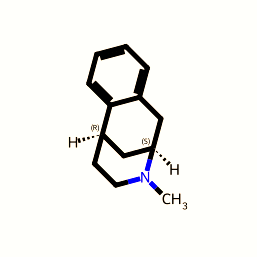 CN1CC[C@@H]2C[C@H]1Cc1ccccc12